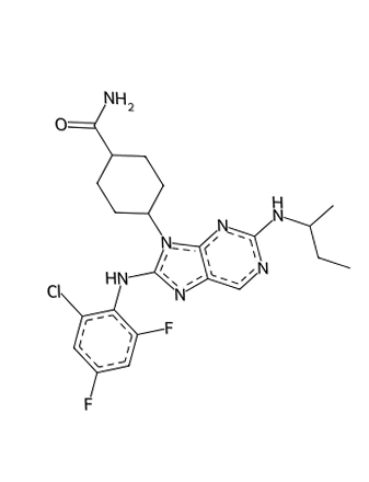 CCC(C)Nc1ncc2nc(Nc3c(F)cc(F)cc3Cl)n(C3CCC(C(N)=O)CC3)c2n1